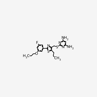 CCCOc1cc(F)cc(-c2nc(CSc3nc(N)cc(N)n3)c(CCC)s2)c1